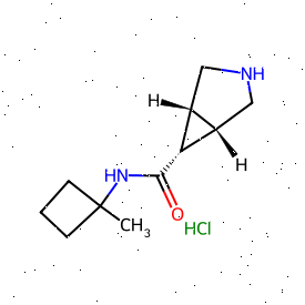 CC1(NC(=O)[C@@H]2[C@@H]3CNC[C@@H]32)CCC1.Cl